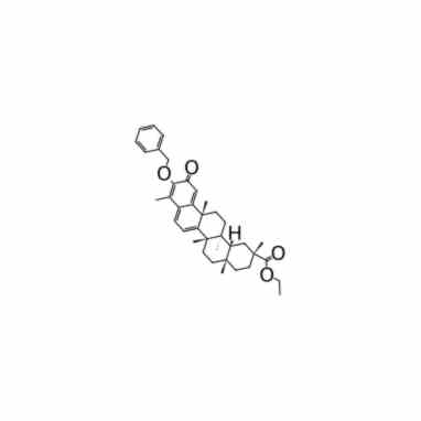 CCOC(=O)[C@]1(C)CC[C@]2(C)CC[C@]3(C)C4=CC=C5C(=CC(=O)C(OCc6ccccc6)=C5C)[C@]4(C)CC[C@@]3(C)[C@@H]2C1